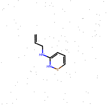 C=CCNC1=CC=CSN1